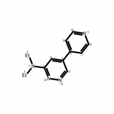 CCN(CC)c1cc(-c2ccncc2)cnn1